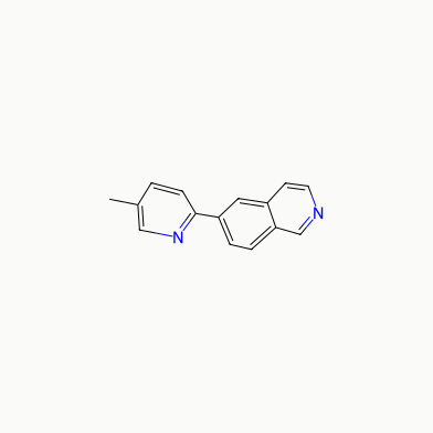 Cc1ccc(-c2ccc3cnccc3c2)nc1